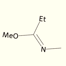 CC/C(=N\C)OC